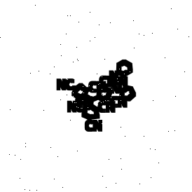 N#Cc1cc(C#N)c(C(c2cc(C#N)c(-n3c4ccccc4n4c5ccccc5nc34)c(C#N)c2)c2c(C#N)cc(C#N)cc2C#N)c(C#N)c1